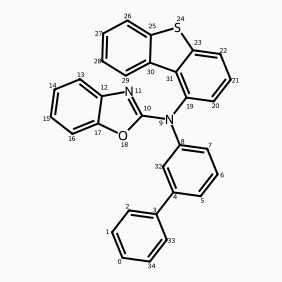 c1ccc(-c2cccc(N(c3nc4ccccc4o3)c3cccc4sc5ccccc5c34)c2)cc1